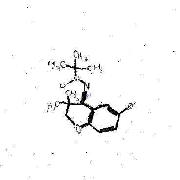 CC1(C)COc2ccc(Br)cc2/C1=N/[S+]([O-])C(C)(C)C